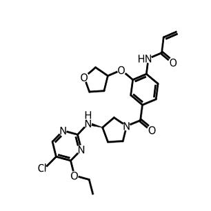 C=CC(=O)Nc1ccc(C(=O)N2CC[C@@H](Nc3ncc(Cl)c(OCC)n3)C2)cc1OC1CCOC1